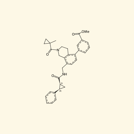 COC(=O)c1cccc(-c2ccc(CNC(=O)[C@H]3C[C@H]3c3ccccc3)c3c2CCN(C(=O)C2(C)CC2)C3)c1